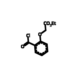 CCOC(=O)COc1ccccc1C(=O)Cl